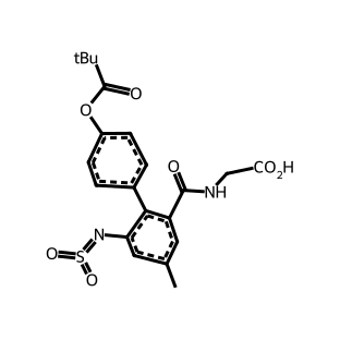 Cc1cc(N=S(=O)=O)c(-c2ccc(OC(=O)C(C)(C)C)cc2)c(C(=O)NCC(=O)O)c1